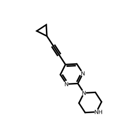 C(#CC1CC1)c1cnc(N2CCNCC2)nc1